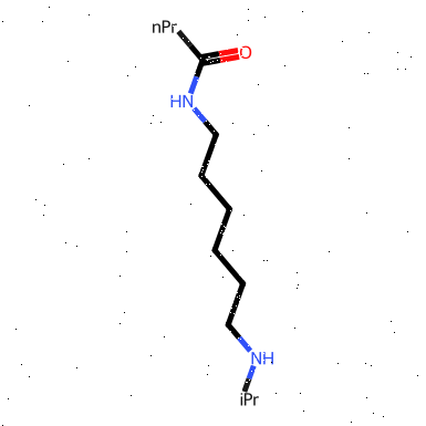 CCCC(=O)NCCCCCCNC(C)C